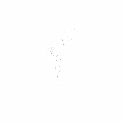 COc1cccc(S(=O)(=O)C2CC(NS(=O)(=O)N3CCSc4c(-c5ccc(C#N)cc5)cncc43)C2)c1